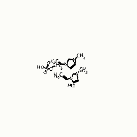 C=CN1C=CN(C)C1.C=CN1C=CN(C)C1.COS(=O)(=O)O.Cl